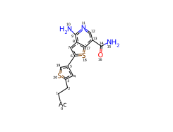 CC(=O)CCc1cc(-c2cc3c(N)ncc(C(N)=O)c3s2)cs1